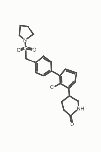 O=C1CCC(c2cccc(-c3ccc(CS(=O)(=O)N4CCCC4)cc3)c2Cl)CN1